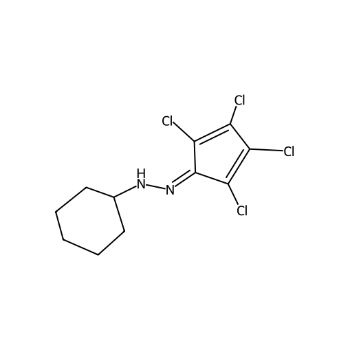 ClC1=C(Cl)C(Cl)=C(Cl)C1=NNC1CCCCC1